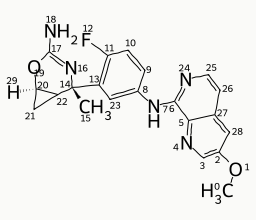 COc1cnc2c(Nc3ccc(F)c([C@@]4(C)N=C(N)O[C@@H]5CC54)c3)nccc2c1